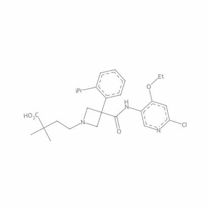 CCOc1cc(Cl)ncc1NC(=O)C1(c2ccccc2C(C)C)CN(CCC(C)(C)C(=O)O)C1